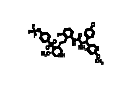 COc1ccc(C(c2ccc(Cl)cc2)C(N)C(=O)Nc2cccc(F)c2CC[C@H]2CNC[C@H](C)N2S(=O)(=O)c2ccc(OC(F)(F)F)cc2)cn1